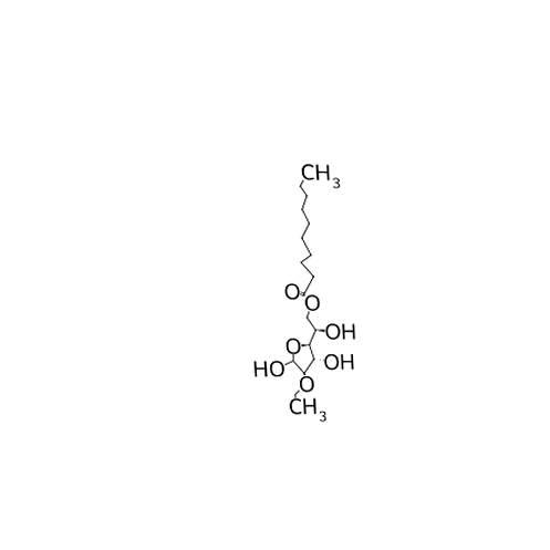 CCCCCCCCCC(=O)OC[C@@H](O)[C@@H]1OC(O)[C@H](OCC)[C@H]1O